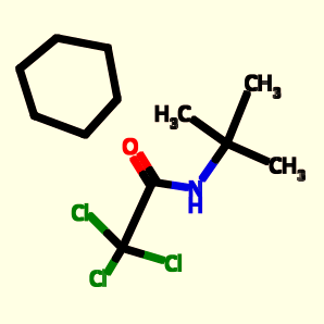 C1CCCCC1.CC(C)(C)NC(=O)C(Cl)(Cl)Cl